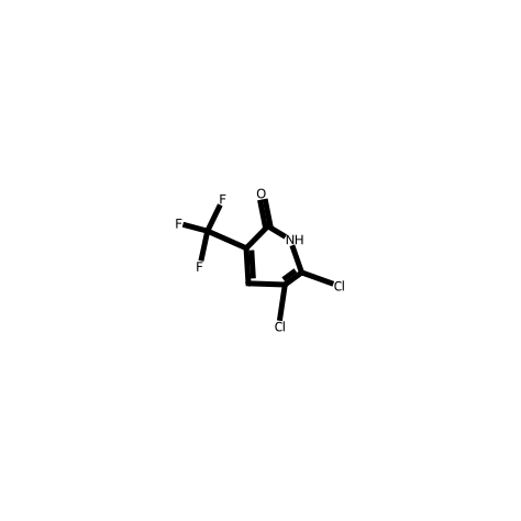 O=c1[nH]c(Cl)c(Cl)cc1C(F)(F)F